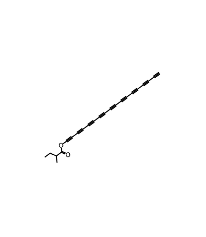 C#CC#CC#CC#CC#CC#CC#CC#CC#COC(=O)C(C)CC